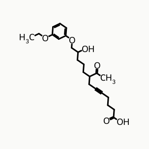 CCOc1cccc(OCC(O)CCCC(CC#CCCCC(=O)O)C(C)=O)c1